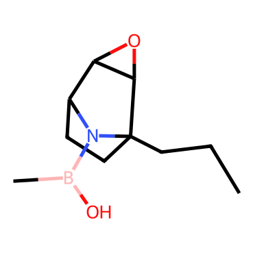 CCCC12CCC(C3OC31)N2B(C)O